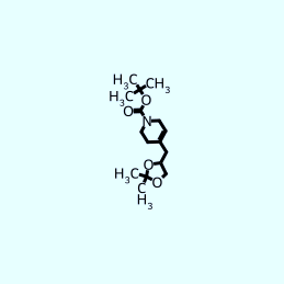 CC(C)(C)OC(=O)N1CC=C(CC2COC(C)(C)O2)CC1